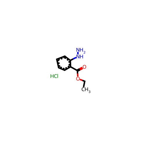 CCOC(=O)c1ccccc1NN.Cl